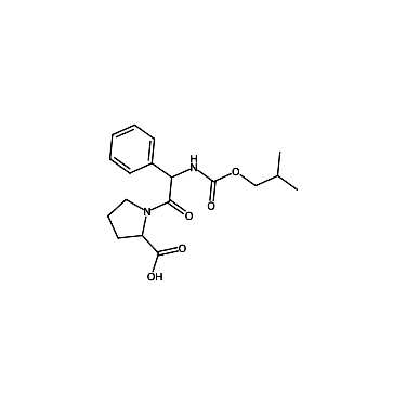 CC(C)COC(=O)NC(C(=O)N1CCCC1C(=O)O)c1ccccc1